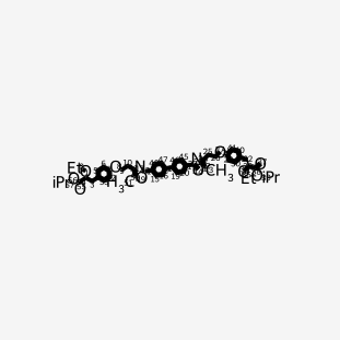 CCOC(Cc1ccc(OCCc2nc(-c3ccc(-c4ccc(-c5nc(CCOc6ccc(C[C@H](OCC)C(=O)OC(C)C)cc6)c(C)o5)cc4)cc3)oc2C)cc1)C(=O)OC(C)C